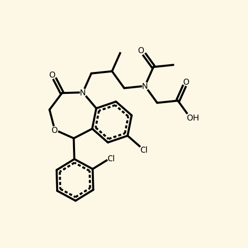 CC(=O)N(CC(=O)O)CC(C)CN1C(=O)COC(c2ccccc2Cl)c2cc(Cl)ccc21